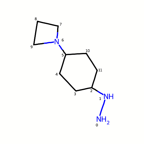 NNC1CCC(N2CCC2)CC1